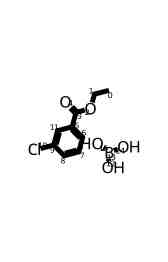 CCOC(=O)c1cccc(Cl)c1.OB(O)O